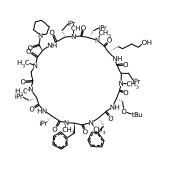 CC(C)CC1C(=O)N[C@@H](CCCCO)C(=O)N(C)[C@@H](CC(C)C)C(=O)N(C)[C@@H](CC(C)C)C(=O)N[C@H](C(=O)N2CCCCC2)C(=O)N(C)CC(=O)N(C)[C@@H](CC(C)C)C(=O)N[C@@H](C(C)C)C(=O)N(C)[C@H](Cc2ccccc2)C(=O)N(C)[C@@H](Cc2ccccc2)C(=O)N[C@@H](COC(C)(C)C)C(=O)N1C